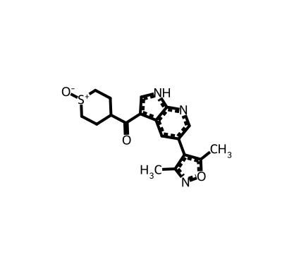 Cc1noc(C)c1-c1cnc2[nH]cc(C(=O)C3CC[S+]([O-])CC3)c2c1